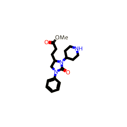 COC(=O)CCC1CN(c2ccccc2)C(=O)N1C1CCNCC1